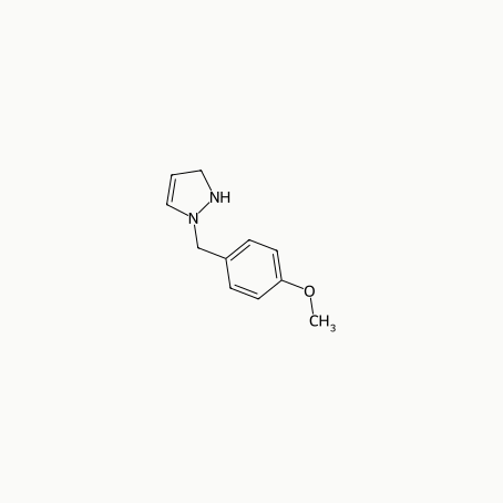 COc1ccc(CN2C=CCN2)cc1